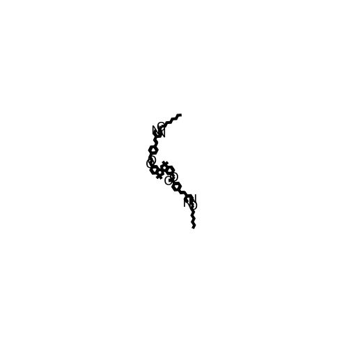 CCCCCCCOc1ncc(/C=C/c2ccc(COOc3ccc4c(c3)C3(CC4(C)C)CC(C)(C)c4ccc(OC(=O)c5ccc(/C=C/c6cnc(OCCCCCCC)nc6)cc5)cc43)cc2)cn1